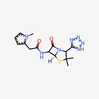 Cn1cccc1CC(=O)NC1C(=O)N2C(c3nnn[nH]3)C(C)(C)S[C@@H]12